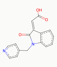 O=C(O)/C=C1/C(=O)N(Cc2ccncc2)c2ccccc21